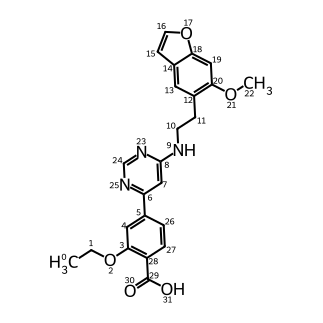 CCOc1cc(-c2cc(NCCc3cc4ccoc4cc3OC)ncn2)ccc1C(=O)O